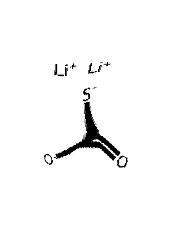 O=C([O-])[S-].[Li+].[Li+]